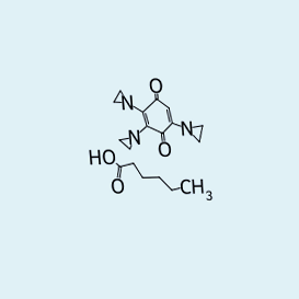 CCCCCC(=O)O.O=C1C=C(N2CC2)C(=O)C(N2CC2)=C1N1CC1